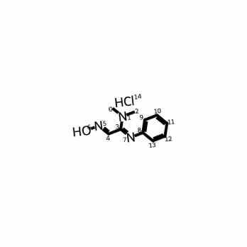 CN(C)C(C=NO)=Nc1ccccc1.Cl